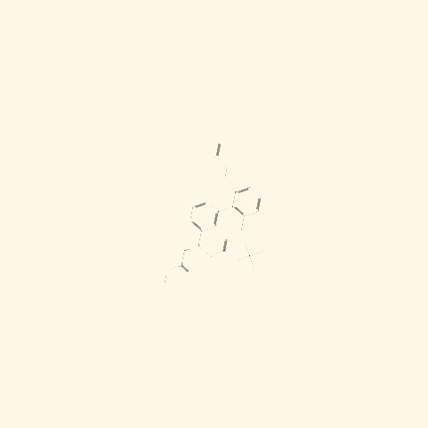 C=CCOc1cccc(C)c1-c1cccc([C@H](CC(=O)OC)NC(=O)OC(C)(C)C)c1